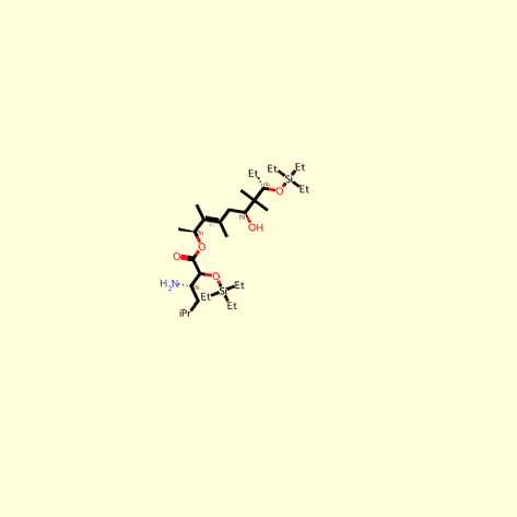 CC[C@H](O[Si](CC)(CC)CC)C(C)(C)[C@@H](O)C/C(C)=C(\C)[C@H](C)OC(=O)C(O[Si](CC)(CC)CC)[C@@H](N)CC(C)C